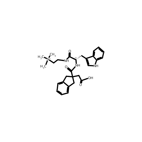 C[N+](C)(C)CCNC(=O)[C@H](Cc1c[nH]c2ccccc12)NC(=O)C1(CC(=O)O)Cc2ccccc2C1